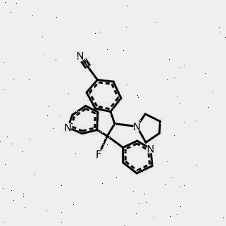 N#Cc1ccc(C(N2CCCC2)C(F)(c2cccnc2)c2cccnc2)cc1